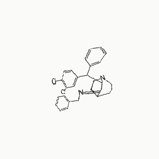 Clc1ccc(C(c2ccccc2)C2C(=NCc3ccccc3)C3CCN2CC3)cc1Cl